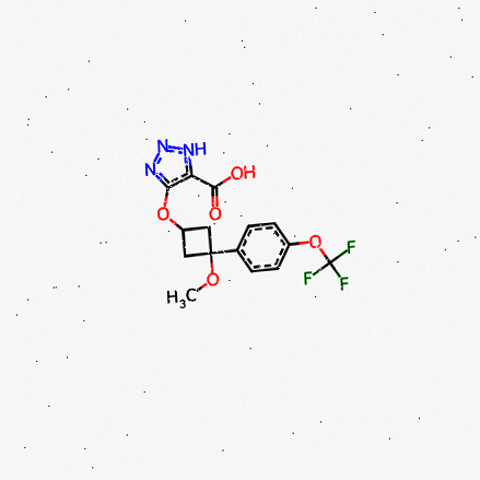 COC1(c2ccc(OC(F)(F)F)cc2)CC(Oc2nn[nH]c2C(=O)O)C1